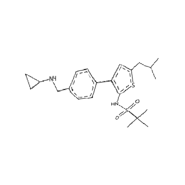 CC(C)Cc1cc(-c2ccc(CNC3CC3)cc2)c(NS(=O)(=O)C(C)(C)C)s1